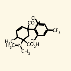 CC1C=CC(C(=O)O)(c2c(Cl)cc(C(F)(F)F)cc2Cl)CC1(C(=O)O)N(C)C